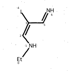 CCN/C=C(/I)C=N